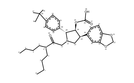 CCCCN(CCCC)C(=O)CN1C[C@H](c2ccc3c(c2)OCO3)[C@H](OC(=O)O)[C@H]1c1ccc(C(C)(C)C)cc1